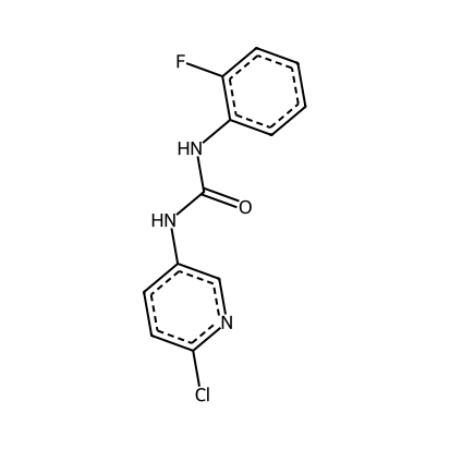 O=C(Nc1ccc(Cl)nc1)Nc1ccccc1F